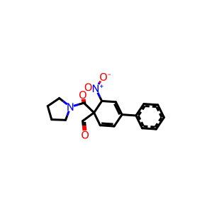 O=CC1(C(=O)N2CCCC2)C=CC(c2ccccc2)=CC1[N+](=O)[O-]